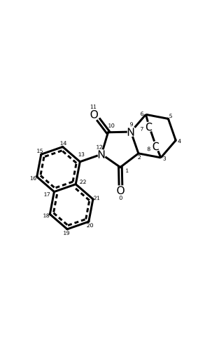 O=C1C2C3CCC(CC3)N2C(=O)N1c1cccc2ccccc12